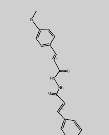 COc1ccc(/C=C/C(=O)NNC(=O)/C=C/c2ccccc2)cc1